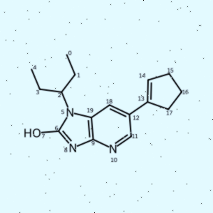 CCC(CC)n1c(O)nc2ncc(C3=CCCC3)cc21